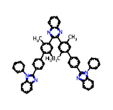 Cc1cc(-c2nc3ccccc3nc2-c2cc(C)c(-c3ccc(-c4nc5ccccc5n4-c4ccccc4)cc3)cc2C)c(C)cc1-c1ccc(-c2nc3ccccc3n2-c2ccccc2)cc1